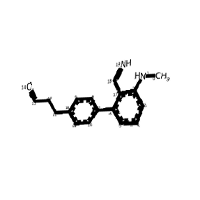 CNc1cccc(-c2ccc(CCC=O)cc2)c1C=N